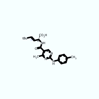 Cc1ccc(Nc2ncc(C(=O)N[C@H](/C=C/C(C)(C)C)C(=O)O)c(C)n2)cc1